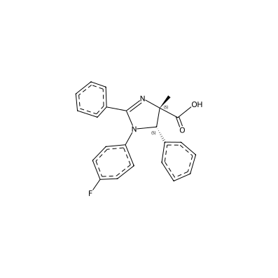 C[C@]1(C(=O)O)N=C(c2ccccc2)N(c2ccc(F)cc2)[C@H]1c1ccccc1